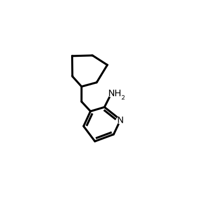 Nc1ncccc1CC1CCCCC1